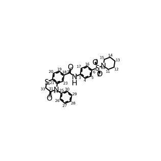 O=C(Nc1ccc(S(=O)(=O)N2CCCCC2)cc1)c1ccc2c(c1)N(c1ccccc1)C(=O)CS2